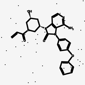 C=CC(=O)N1C[C@H](O)C[C@H](n2c(=O)n(-c3ccc(Oc4ccccc4)cc3)c3c(N)nccc32)C1